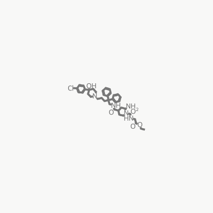 CCOC(=O)CNC(=O)N1CCC(C(=O)NCC(CCCN2CCC(O)(c3ccc(Cl)cc3)CC2)(c2ccccc2)c2ccccc2)CC1N